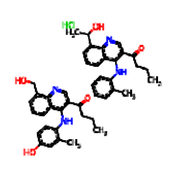 CCCC(=O)c1cnc2c(C(C)O)cccc2c1Nc1ccccc1C.CCCC(=O)c1cnc2c(CO)cccc2c1Nc1ccc(O)cc1C.Cl